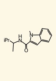 CC(C)C(C)NC(=O)c1cc2ccccc2n1C